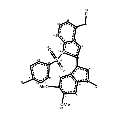 COc1cc2c(-c3cc4c(CCl)ccnc4n3S(=O)(=O)c3ccc(C)cc3)cn(C)c2cc1OC